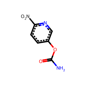 NC(=O)Oc1ccc([N+](=O)[O-])nc1